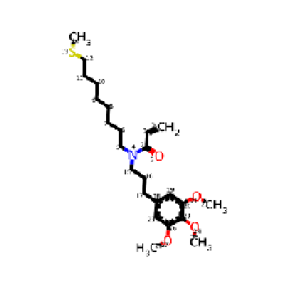 C=CC(=O)N(CCCCCCCCSC)CCCc1cc(OC)c(OC)c(OC)c1